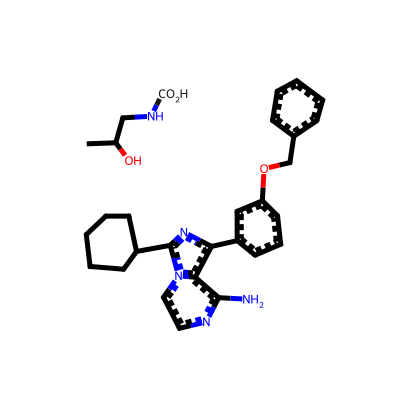 CC(O)CNC(=O)O.Nc1nccn2c(C3CCCCC3)nc(-c3cccc(OCc4ccccc4)c3)c12